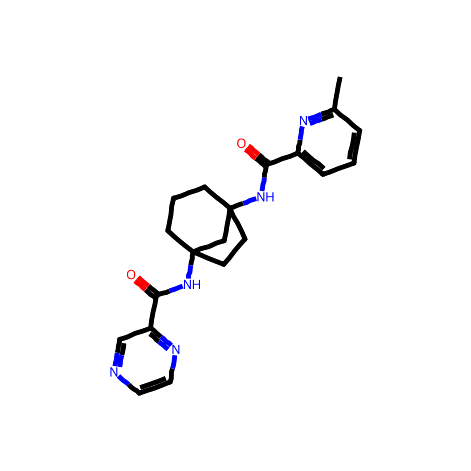 Cc1cccc(C(=O)NC23CCCC(NC(=O)c4cnccn4)(CC2)C3)n1